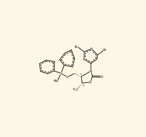 C[C@H]1OC(=O)N(c2cc(Br)nc(Br)n2)[C@H]1CO[Si](c1ccccc1)(c1ccccc1)C(C)(C)C